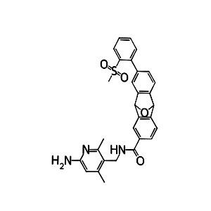 Cc1cc(N)nc(C)c1CNC(=O)c1ccc2c(c1)C1OC2c2ccc(-c3ccccc3S(C)(=O)=O)cc21